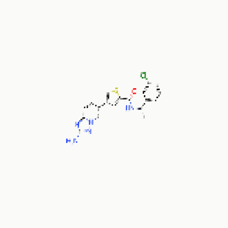 C[C@H](NC(=O)c1cc(-c2ccc3nc(N)nn3c2)cs1)c1cccc(Cl)c1